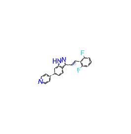 Fc1cccc(F)c1/C=C/c1n[nH]c2cc(-c3ccncc3)ccc12